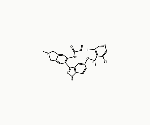 C=CC(=O)Nc1cc2c(cc1-c1n[nH]c3ccc(O[C@H](C)c4c(Cl)cncc4Cl)cc13)CN(C)C2